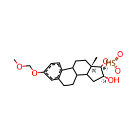 COCOc1ccc2c(c1)CCC1C2CC[C@@]2(C)C1C[C@H](O)[C@@H]2O[SH](=O)=O